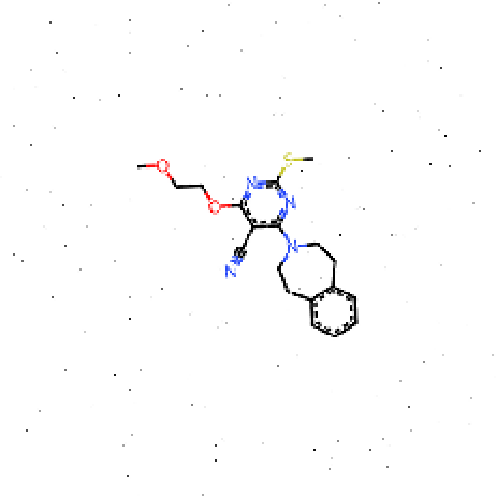 COCCOc1nc(SC)nc(N2CCc3ccccc3CC2)c1C#N